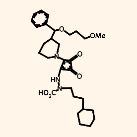 COCCCOC(c1ccccc1)C1CCCN(c2c(NN(CCCC3CCCCC3)C(=O)O)c(=O)c2=O)C1